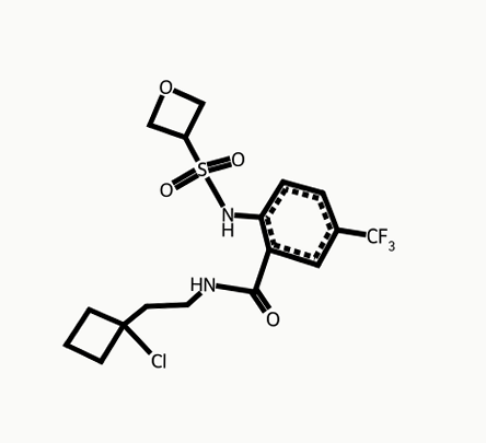 O=C(NCCC1(Cl)CCC1)c1cc(C(F)(F)F)ccc1NS(=O)(=O)C1COC1